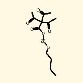 CCCC[O][Zr][O]C(=O)C(C(C)=O)(C(C)=O)C(C)=O